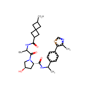 Cc1ncsc1-c1ccc(C(C)NC(=O)[C@@H]2C[C@@H](O)CN2C(=O)C(NC(=O)C2CC3(CC(C(=O)O)C3)C2)C(C)(C)C)cc1